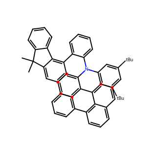 CC(C)(C)c1cc(N(c2ccccc2-c2cccc3c2-c2ccccc2C3(C)C)c2ccccc2-c2cccc3cccc(-c4ccccc4)c23)cc(C(C)(C)C)c1